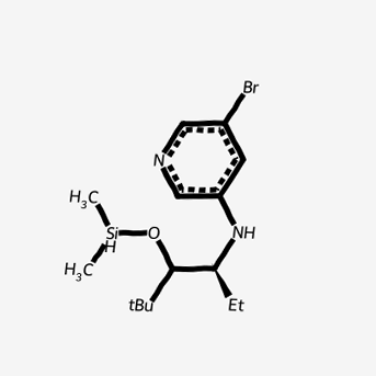 CC[C@H](Nc1cncc(Br)c1)C(O[SiH](C)C)C(C)(C)C